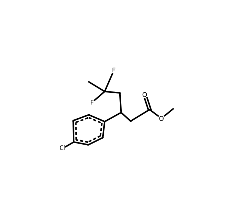 COC(=O)CC(CC(C)(F)F)c1ccc(Cl)cc1